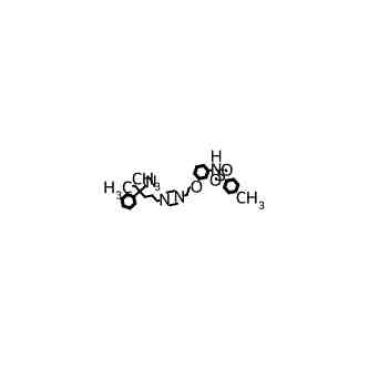 Cc1ccc(S(=O)(=O)Nc2cccc(OCCN3CCN(CCCC(C#N)(c4ccccc4)C(C)C)CC3)c2)cc1